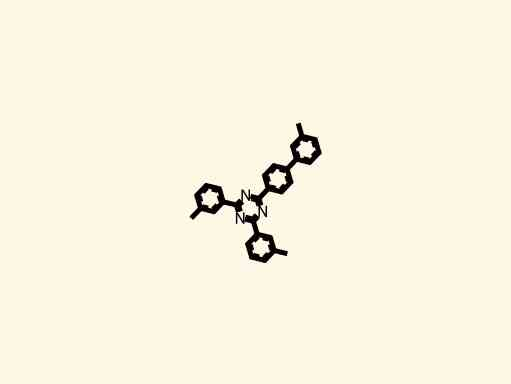 Cc1cccc(-c2ccc(-c3nc(-c4cccc(C)c4)nc(-c4cccc(C)c4)n3)cc2)c1